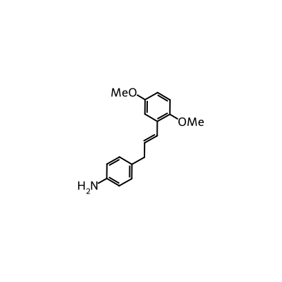 COc1ccc(OC)c(/C=C/Cc2ccc(N)cc2)c1